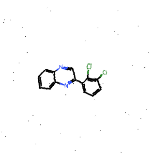 Clc1cccc(-c2cnc3ccccc3n2)c1Cl